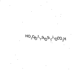 O=C(O)OCCSOSCCOC(=O)O